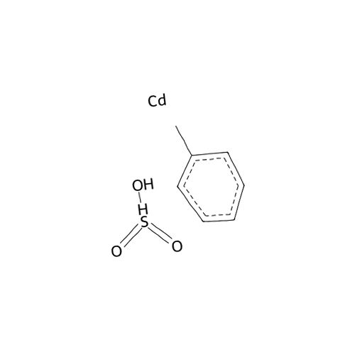 Cc1ccccc1.O=[SH](=O)O.[Cd]